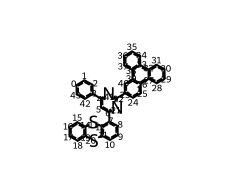 c1ccc(-c2cc(-c3cccc4c3Sc3ccccc3S4)nc(-c3ccc4c5ccccc5c5ccccc5c4c3)n2)cc1